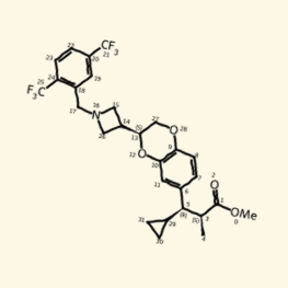 COC(=O)[C@@H](C)[C@H](c1ccc2c(c1)O[C@@H](C1CN(Cc3cc(C(F)(F)F)ccc3C(F)(F)F)C1)CO2)C1CC1